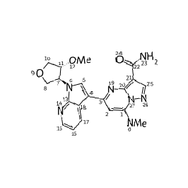 CNc1cc(-c2cn([C@H]3COC[C@@H]3OC)c3ncccc23)nc2c(C(N)=O)cnn12